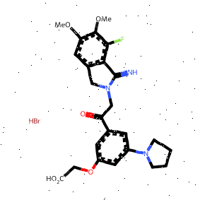 Br.COc1cc2c(c(F)c1OC)C(=N)N(CC(=O)c1cc(OCC(=O)O)cc(N3CCCC3)c1)C2